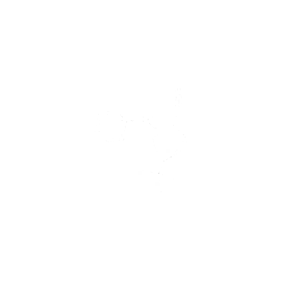 C#Cc1ccc(C(C)(C)C)cc1Oc1ccccc1